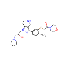 O=C(CSc1cc(-c2nn(CC(O)CN3CCCCC3)c3c2CNCC3)ccc1C(F)(F)F)N1CCOCC1